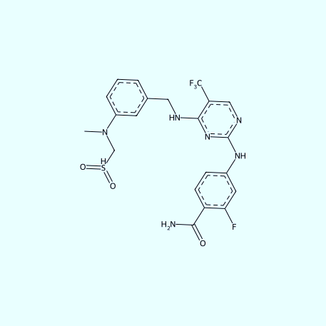 CN(C[SH](=O)=O)c1cccc(CNc2nc(Nc3ccc(C(N)=O)c(F)c3)ncc2C(F)(F)F)c1